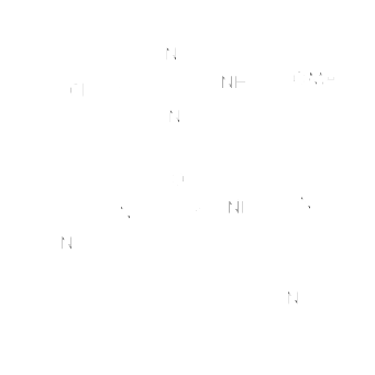 C=CC(=O)Nc1cc(Nc2ncc(Cl)c(-c3cnc4c(ccn4C)c3)n2)c(OC)cc1N(C)CCN(C)C